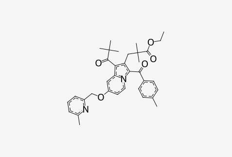 CCOC(=O)C(C)(C)Cc1c(C(=O)C(C)(C)C)c2cc(OCc3cccc(C)n3)ccn2c1C(=O)c1ccc(C)cc1